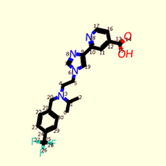 CC(C)N(CCn1cnc(-c2cc(C(=O)O)ccn2)c1)Cc1ccc(C(F)(F)F)cc1